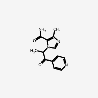 Cc1ncn(C(C)C(=O)c2ccncc2)c1C(N)=O